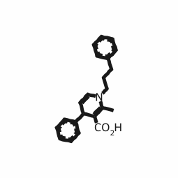 CC1=C(C(=O)O)C(c2ccccc2)C=CN1CCCc1ccccc1